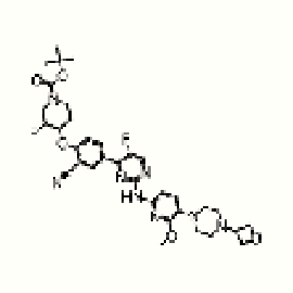 COc1nc(Nc2ncc(F)c(-c3ccc(OC4CCN(C(=O)OC(C)(C)C)CC4F)c(C#N)c3)n2)ccc1N1CCN(C2COC2)CC1